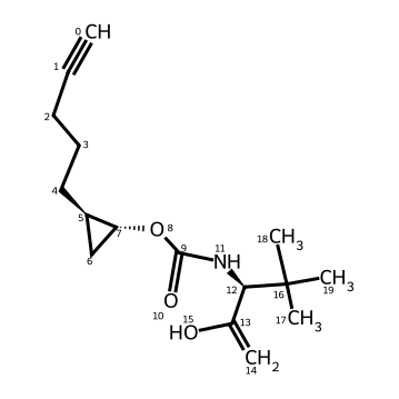 C#CCCC[C@@H]1C[C@H]1OC(=O)N[C@H](C(=C)O)C(C)(C)C